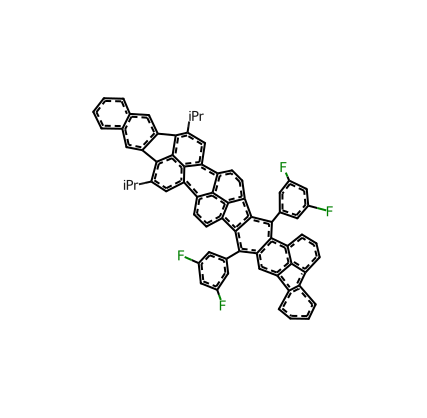 CC(C)c1cc2c3ccc4c5c(-c6cc(F)cc(F)c6)c6cc7c8ccccc8c8cccc(c6c(-c6cc(F)cc(F)c6)c5c5ccc(c6cc(C(C)C)c9c(c1-c1cc%10ccccc%10cc1-9)c26)c3c45)c87